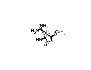 CN1CC(=O)NC1=N.NC(N)=O.[CaH2]